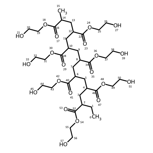 CCC(CC(CC(CC(CC(CC(CC(C)C(=O)OCCO)C(=O)OCCO)C(=O)OCCO)C(=O)OCCO)C(=O)OCCO)C(=O)OCCO)C(=O)OCCO